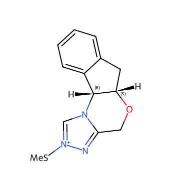 CS[n+]1cn2c(n1)CO[C@H]1Cc3ccccc3[C@H]12